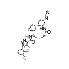 Cc1c(C(=O)N[C@H]2CCC[C@@H](C)C(=O)Nc3cc(/N=C/N(C)C)ccc3-c3ccnc2c3)nnn1-c1cccc(Cl)c1F